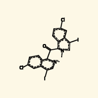 C[n+]1cc(I)c2cc(Cl)ccc2c1C(=O)c1c2ccc(Cl)cc2c(I)c[n+]1C